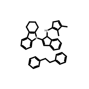 CC1=CC[C]([Hf][CH]2C(n3c4c(c5ccccc53)CCCC4)=Cc3ccccc32)=C1C.c1ccc(CCc2ccccc2)cc1